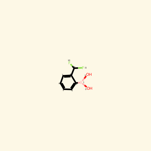 OB(O)c1ccccc1C(F)F